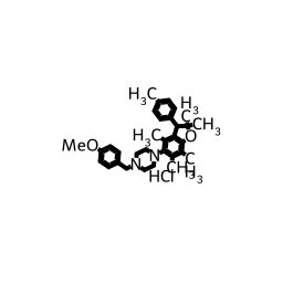 COc1ccc(CN2CCN(c3c(C)c(C)c4c(c3C)C(c3ccc(C)cc3)C(C)(C)O4)CC2)cc1.Cl